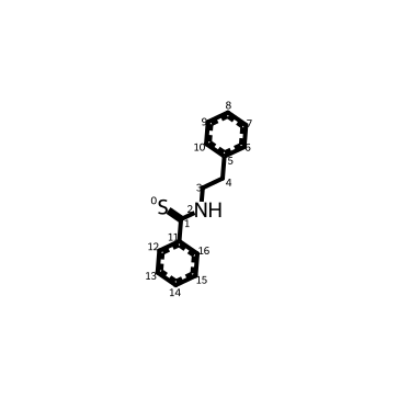 S=C(NCCc1ccccc1)c1ccccc1